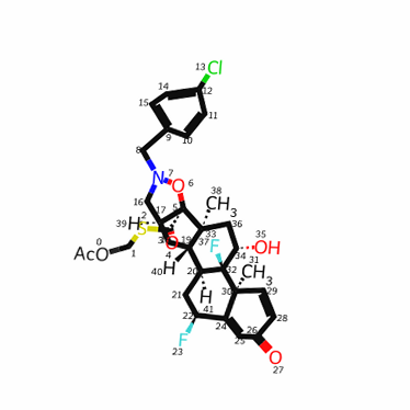 CC(=O)OCSC(=O)[C@@]12ON(Cc3ccc(Cl)cc3)C[C@@H]1C[C@H]1[C@@H]3C[C@H](F)C4=CC(=O)C=C[C@]4(C)[C@@]3(F)[C@@H](O)C[C@@]12C